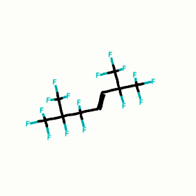 FC(F)(F)C(F)(C=CC(F)(F)C(F)(C(F)(F)F)C(F)(F)F)C(F)(F)F